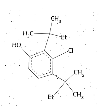 CCC(C)(C)c1ccc(O)c(C(C)(C)CC)c1Cl